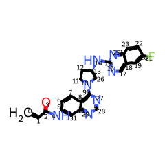 C=CC(=O)Nc1ccc2c(N3CC[C@@H](Nc4ncc5cc(F)ccc5n4)C3)ncnc2c1